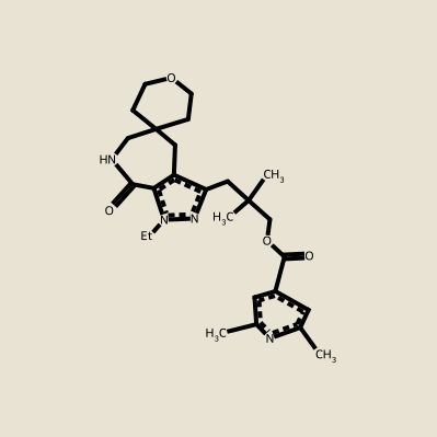 CCn1nc(CC(C)(C)COC(=O)c2cc(C)nc(C)c2)c2c1C(=O)NCC1(CCOCC1)C2